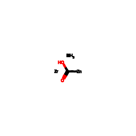 O=[C](O)[Zn].[BiH3].[Zr]